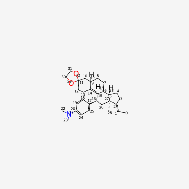 CC=C1CC[C@H]2[C@@H]3CC[C@H]4CC5(CCC4=C3[C@H](c3ccc(N(C)C)cc3)C[C@]12C)OCCO5